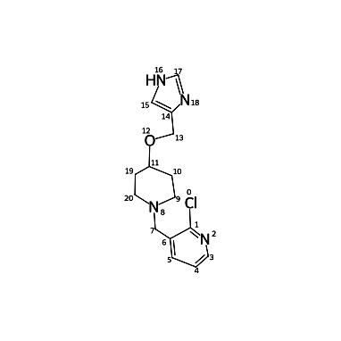 Clc1ncccc1CN1CCC(OCc2c[nH]cn2)CC1